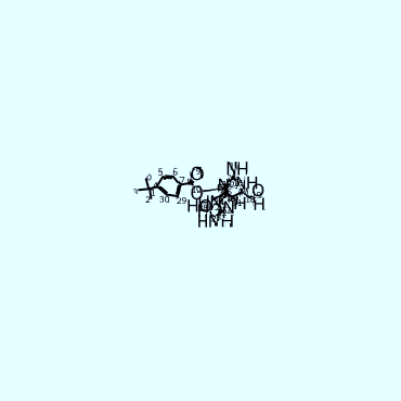 CC(C)(C)c1ccc(C(=O)O[C@H]2CN3C(=N)N[C@@H](CO)[C@@H]4NC(=N)N[C@@]43C2(O)O)cc1